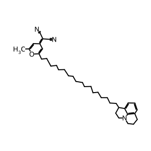 CC1=CC(=C(C#N)C#N)C=C(CCCCCCCCCCCCCCCCCCC2CCN3CCCc4cccc2c43)O1